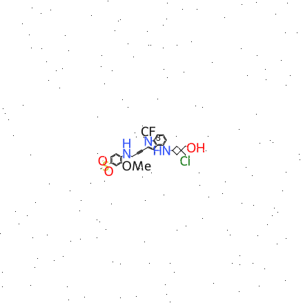 COc1cc(S(C)(=O)=O)ccc1NCC#Cc1cc2c(NC3CC(CO)(CCl)C3)cccc2n1CC(F)(F)F